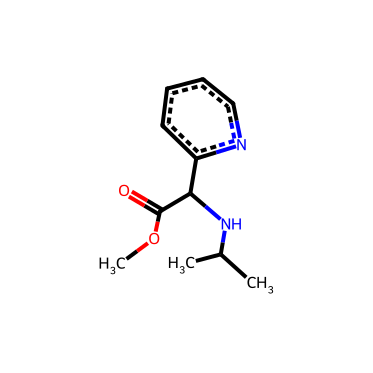 COC(=O)C(NC(C)C)c1ccccn1